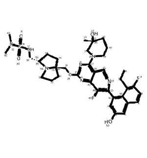 CCc1c(F)ccc2cc(O)cc(-c3ncc4c(N5CCC[C@@](C)(O)C5)nc(OC[C@@]56CCCN5[C@H](CNS(=O)(=O)N(C)C)CC6)nc4c3F)c12